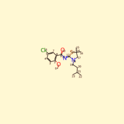 COc1ccc(Cl)cc1C(=O)N=C1SC(C)(C)CN1CCC(C)C